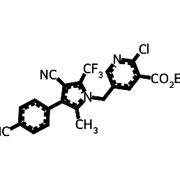 CCOC(=O)c1cc(Cn2c(C)c(-c3ccc(C#N)cc3)c(C#N)c2C(F)(F)F)cnc1Cl